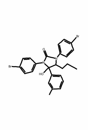 CCCC1N(c2ccc(Br)cc2)C(=O)N(c2ccc(Br)cc2)C1(O)c1cccc(C)c1